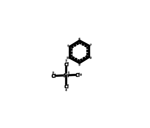 [Cl][Sn]([Cl])([Cl])[Cl].[c]1ccccc1